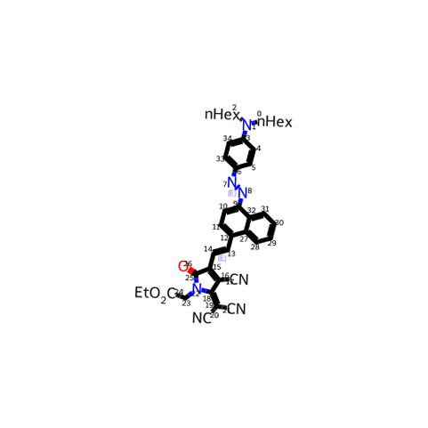 CCCCCCN(CCCCCC)c1ccc(/N=N/c2ccc(/C=C/C3=C(C#N)C(=C(C#N)C#N)N(CC(=O)OCC)C3=O)c3ccccc23)cc1